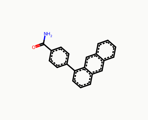 NC(=O)c1ccc(-c2cccc3cc4ccccc4cc23)cc1